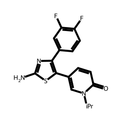 CC(C)n1cc(-c2sc(N)nc2-c2ccc(F)c(F)c2)ccc1=O